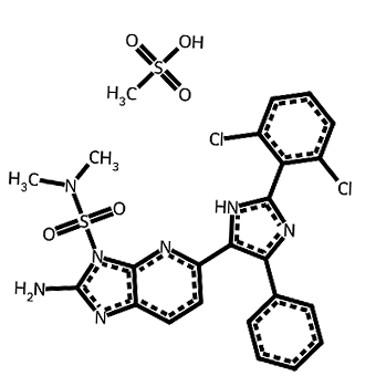 CN(C)S(=O)(=O)n1c(N)nc2ccc(-c3[nH]c(-c4c(Cl)cccc4Cl)nc3-c3ccccc3)nc21.CS(=O)(=O)O